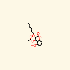 CCC=CCCOc1c(OC(C)=O)c2c(O)cccc2oc1=O